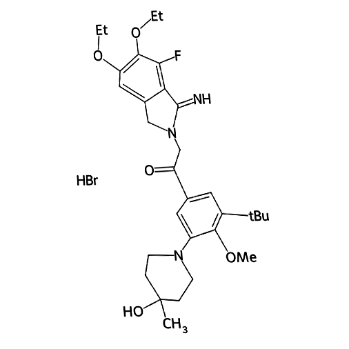 Br.CCOc1cc2c(c(F)c1OCC)C(=N)N(CC(=O)c1cc(N3CCC(C)(O)CC3)c(OC)c(C(C)(C)C)c1)C2